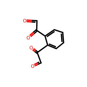 O=CC(=O)c1ccccc1C(=O)C=O